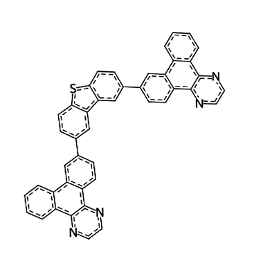 c1ccc2c(c1)c1cc(-c3ccc4sc5ccc(-c6ccc7c(c6)c6ccccc6c6nccnc76)cc5c4c3)ccc1c1nccnc21